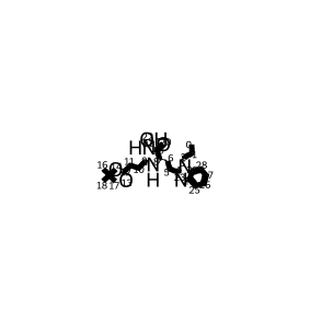 CCCn1c(CC[C@H](NCCCC(=O)OC(C)(C)C)C(=O)NO)nc2ccccc21